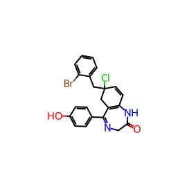 O=C1CN=C(c2ccc(O)cc2)C2=C(C=CC(Cl)(Cc3ccccc3Br)C2)N1